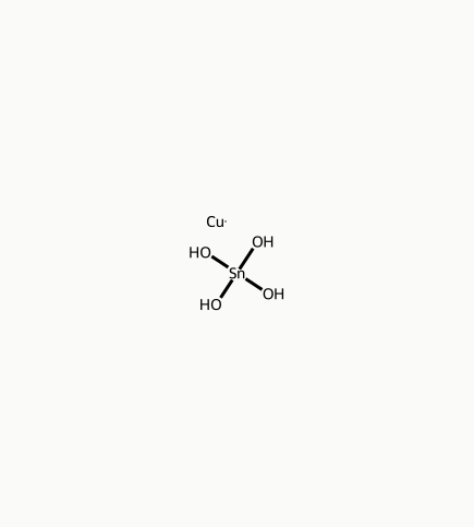 [Cu].[OH][Sn]([OH])([OH])[OH]